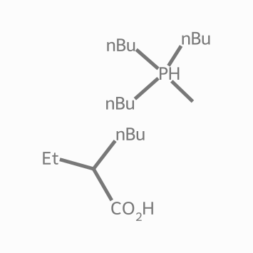 CCCCC(CC)C(=O)O.CCCC[PH](C)(CCCC)CCCC